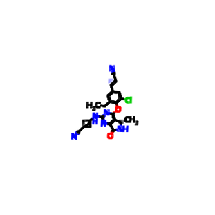 CCc1cc(/C=C/C#N)cc(Cl)c1Oc1nc(NC23CC(C#N)(C2)C3)nc2c1[C@H](C)NC2=O